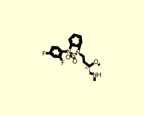 CNC[C@H](CCN1c2ccccc2N(c2ccc(F)cc2F)S1(=O)=O)OC